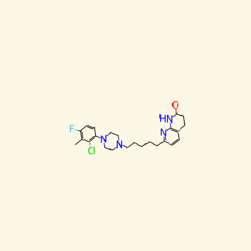 Cc1c(F)ccc(N2CCN(CCCCCc3ccc4c(n3)NC(=O)CC4)CC2)c1Cl